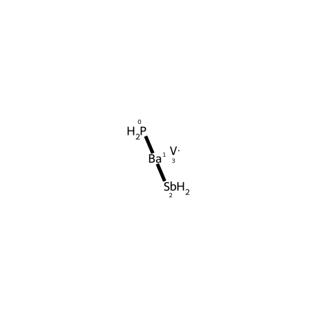 [PH2][Ba][SbH2].[V]